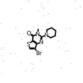 Cn1c(N2CCCCC2)nc2c(Br)csc2c1=O